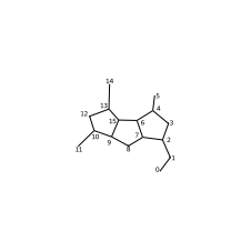 CCC1CC(C)C2C1CC1C(C)CC(C)C12